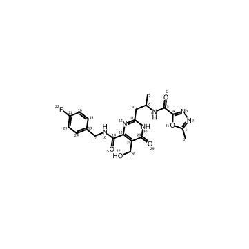 Cc1nnc(C(=O)NC(C)Cc2nc(C(=O)NCc3ccc(F)cc3)c(CO)c(=O)[nH]2)o1